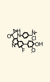 COc1cc(-c2cc3c(Nc4ccc(CN(C)C)cc4)c(C(=O)C4CC4)cnc3cc2F)cc(Cl)c1O